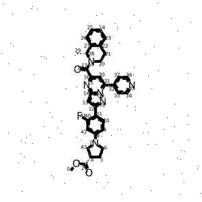 COC(=O)[C@H]1CCN(c2ccc(-c3cc4nc(C(=O)N5CCc6ccccc6[C@H]5C)cc(-c5ccncc5)n4n3)c(F)c2)C1